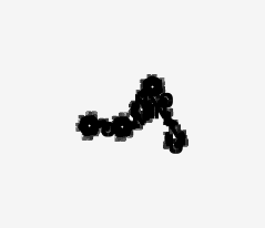 O=C(NCCCN1CCOCC1)Nc1ccccc1CN1CCCN(Cc2ccc(OCc3ccccc3)cc2)CC1